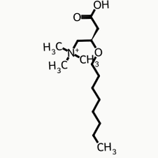 CCCCCCCCO[C@H](CC(=O)O)C[N+](C)(C)C